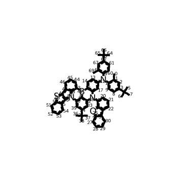 Cc1cc(C(C)(C)C)ccc1N(c1ccc2c(c1)N(c1cccc3c1oc1ccccc13)c1cc(C(C)(C)C)cc3c1B2c1cccc2c4sc5ccccc5c4n-3c12)c1ccc(C(C)(C)C)cc1C